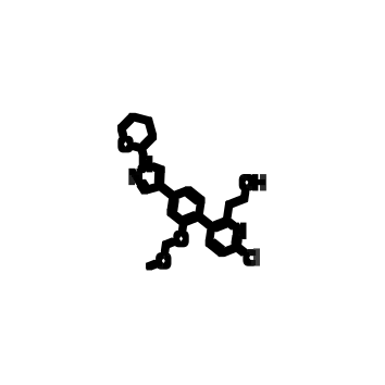 COCOc1cc(-c2cnn(C3CCCCO3)c2)ccc1-c1ccc(Cl)nc1CCO